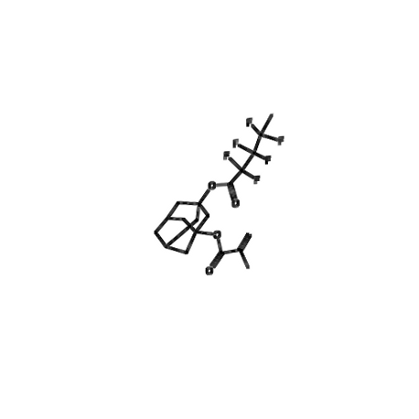 C=C(C)C(=O)OC12CC3CC(C1)CC(OC(=O)C(F)(F)C(F)(F)C(C)(F)F)(C3)C2